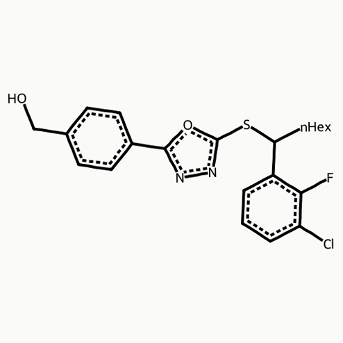 CCCCCCC(Sc1nnc(-c2ccc(CO)cc2)o1)c1cccc(Cl)c1F